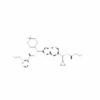 O=C(CCC(F)(F)F)NC(c1cnn2cc([C@@H](NC(=O)c3ncnn3CCF)C3CCC(F)(F)CC3)nc2c1)C1CC1